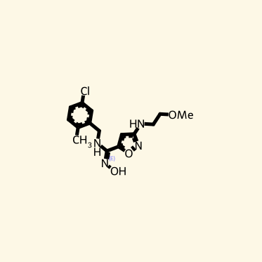 COCCNc1cc(/C(=N\O)NCc2cc(Cl)ccc2C)on1